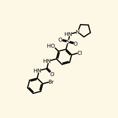 O=C(Nc1ccccc1Br)Nc1ccc(Cl)c(S(=O)(=O)NN2CCCC2)c1O